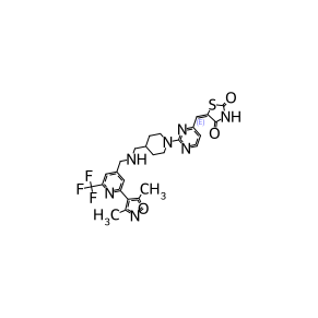 Cc1noc(C)c1-c1cc(CNCC2CCN(c3nccc(/C=C4/SC(=O)NC4=O)n3)CC2)cc(C(F)(F)F)n1